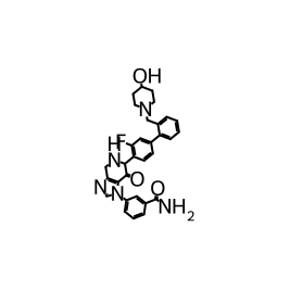 NC(=O)c1cccc(-n2cnc3c2C(=O)C(c2ccc(-c4ccccc4CN4CCC(O)CC4)cc2F)NC3)c1